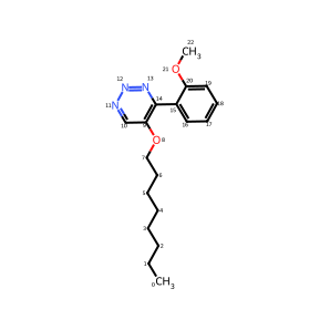 CCCCCCCCOc1cnnnc1-c1ccccc1OC